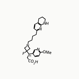 COc1ccc([C@@H](CC(=O)O)C2(F)CN(CCCCc3ccc4c(n3)NCCC4)C2)cn1